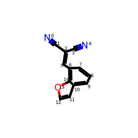 N#CC(C#N)=Cc1cccc2ccoc12